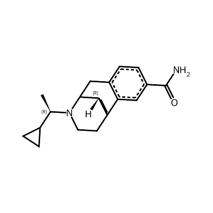 C[C@H](C1CC1)N1CCC23CCCC[C@H]2C1Cc1ccc(C(N)=O)cc13